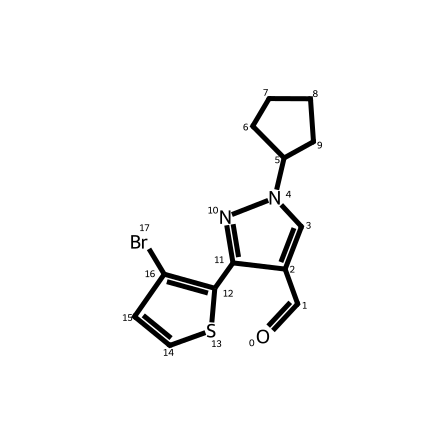 O=Cc1cn(C2CCCC2)nc1-c1sccc1Br